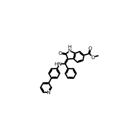 COC(=O)c1ccc2c(c1)NC(=O)/C2=C(\Nc1ccc(-c2cccnc2)cc1)c1ccccc1